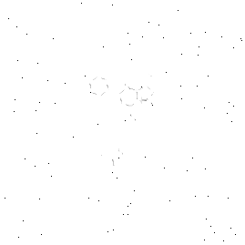 O=C(C1CC1)N1CCCC(CNc2cc(-c3ccccc3Cl)nc3c(Br)cnn23)C1